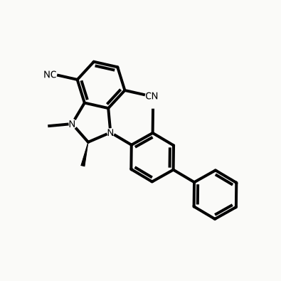 Cc1cc(-c2ccccc2)ccc1N1c2c(C#N)ccc(C#N)c2N(C)[C@@H]1C